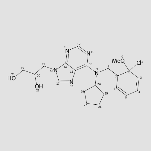 COC1(Cl)C=CC=CC1CN(c1ncnc2c1ncn2CC(O)CO)C1CCCC1